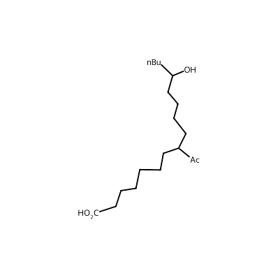 CCCCC(O)CCCCC(CCCCCCC(=O)O)C(C)=O